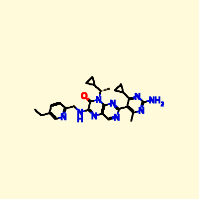 CCc1ccc(CNc2nc3cnc(-c4c(C)nc(N)nc4C4CC4)nc3n([C@@H](C)C3CC3)c2=O)nc1